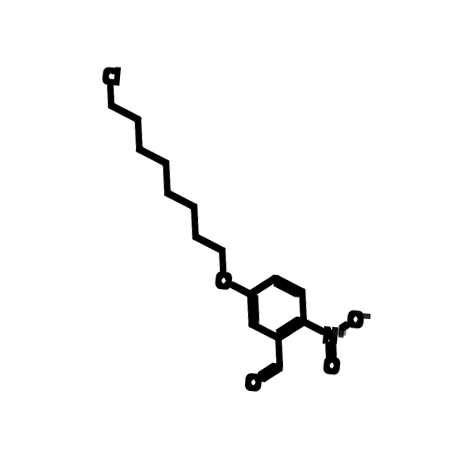 O=Cc1cc(OCCCCCCCCCl)ccc1[N+](=O)[O-]